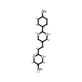 CCCC1CCC(C2OCC(CCC3OCC(CCC)CO3)CO2)CC1